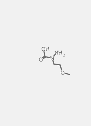 COCCN(N)C(=O)O